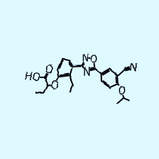 CCc1c(OC(CC)C(=O)O)cccc1-c1noc(-c2ccc(OC(C)C)c(C#N)c2)n1